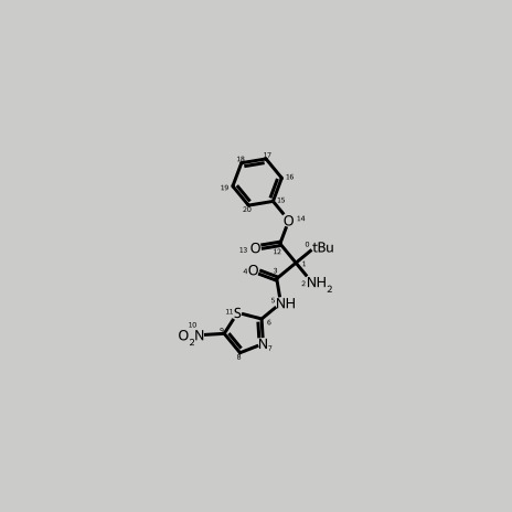 CC(C)(C)C(N)(C(=O)Nc1ncc([N+](=O)[O-])s1)C(=O)Oc1ccccc1